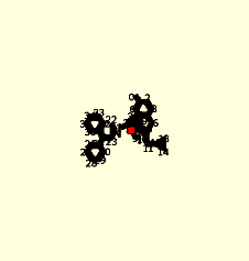 Cc1ccc2c(c1)C13CCN(CC4CC4)C(C2)C12CCC(N(C)CC(c1ccccc1)c1ccccc1)C3CC2